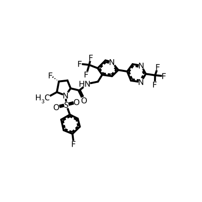 CC1[C@H](F)CC(C(=O)NCc2cc(-c3cnc(C(F)(F)F)nc3)ncc2C(F)(F)F)N1S(=O)(=O)c1ccc(F)cc1